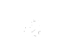 Fc1ccc(C2CCOCC2)c(C2CCNCC2)c1